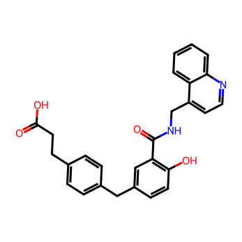 O=C(O)CCc1ccc(Cc2ccc(O)c(C(=O)NCc3ccnc4ccccc34)c2)cc1